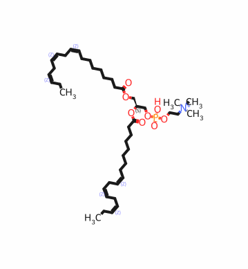 CC/C=C\C/C=C\C/C=C\CCCCCCCC(=O)OC[C@@H](COP(=O)(O)OCC[N+](C)(C)C)OC(=O)CCCCCCC/C=C\C/C=C\C/C=C\CC